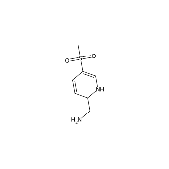 CS(=O)(=O)C1=CNC(CN)C=C1